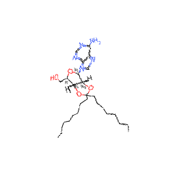 CCCCCCCCC1(CCCCCCCC)O[C@@H]2[C@H](O1)[C@@H](CO)O[C@H]2n1cnc2c(N)ncnc21